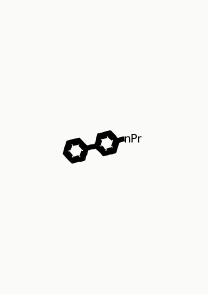 [CH2]CCc1ccc(-c2ccccc2)cc1